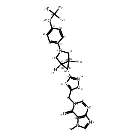 Cn1cnc2ncn(Cc3nc([C@@H]4[C@@H]5CN(c6ccc(OC(F)(F)F)cc6)C[C@@H]54)no3)c(=O)c21